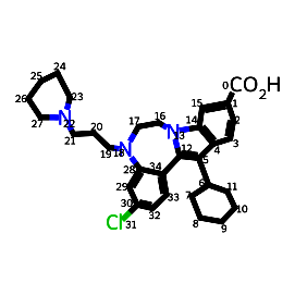 O=C(O)c1ccc2c(C3CCCCC3)c3n(c2c1)CCN(CCCN1CCCCC1)c1cc(Cl)ccc1-3